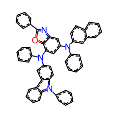 c1ccc(-c2nc3cc(N(c4ccccc4)c4ccc5ccccc5c4)cc(N(c4ccccc4)c4ccc5c(c4)c4ccccc4n5-c4ccccc4)c3o2)cc1